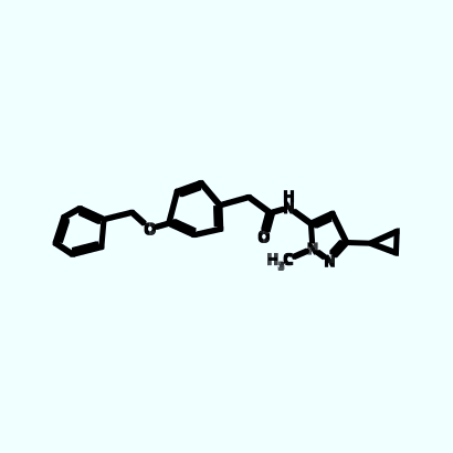 Cn1nc(C2CC2)cc1NC(=O)Cc1ccc(OCc2ccccc2)cc1